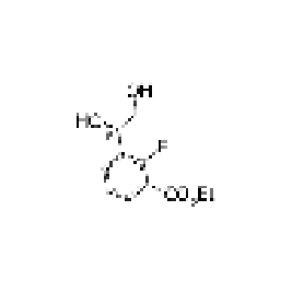 CCOC(=O)c1cccc([C@@H](O)CO)c1F